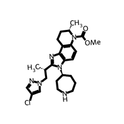 COC(=O)N1c2ccc3c(nc([C@@H](C)Cn4cc(Cl)cn4)n3[C@H]3CCCNCC3)c2CC[C@@H]1C